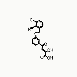 N#Cc1c(Cl)cccc1COc1cccc(C(=O)C=C(O)C(=O)O)c1